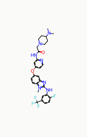 CN(C)C1CCN(CC(=O)Nc2cc(Oc3ccc4c(c3)nc(Nc3cc(C(F)(F)F)ccc3F)n4C)ccn2)CC1